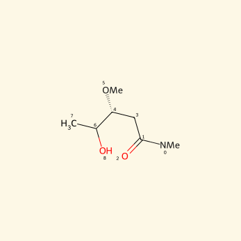 CNC(=O)C[C@@H](OC)C(C)O